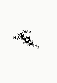 COC(=O)C(C)(C)Cc1ccc2oc(N)nc2c1